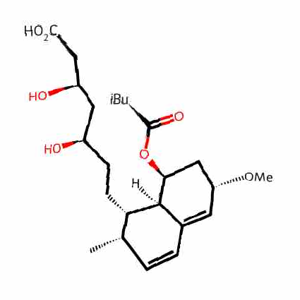 CC[C@H](C)C(=O)O[C@H]1C[C@H](OC)C=C2C=C[C@H](C)[C@H](CC[C@@H](O)C[C@@H](O)CC(=O)O)[C@H]21